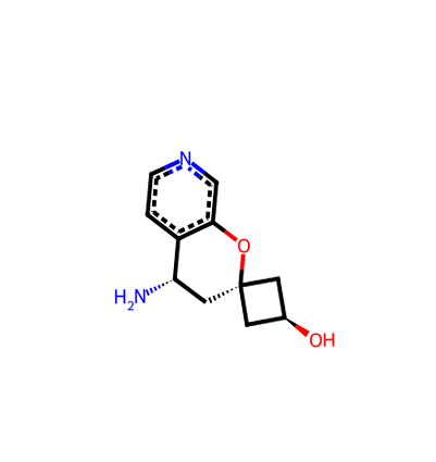 N[C@H]1C[C@]2(C[C@H](O)C2)Oc2cnccc21